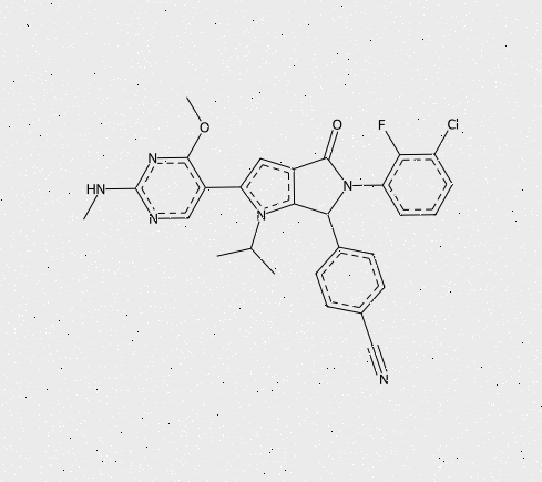 CNc1ncc(-c2cc3c(n2C(C)C)C(c2ccc(C#N)cc2)N(c2cccc(Cl)c2F)C3=O)c(OC)n1